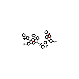 CC(C)c1ccc(N(c2ccc3c(c2)C(C)(C)c2ccccc2-3)c2ccc3c(c2)C(C)(C)c2cccc(C(C)(C)CCC(C)c4ccc(-c5ccc(C(C)C)cc5N(c5ccc6c(c5)C(C)(C)c5ccccc5-6)c5ccc6c(c5)C5(CC7CCC5C7)c5ccccc5-6)cc4)c2-3)c(-c2ccccc2)c1